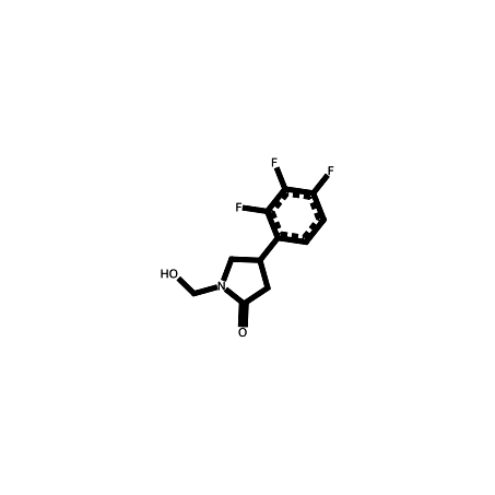 O=C1CC(c2ccc(F)c(F)c2F)CN1CO